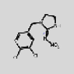 O=[N+]([O-])/N=C1\NCCN1Cc1cnc(Cl)c(Cl)c1